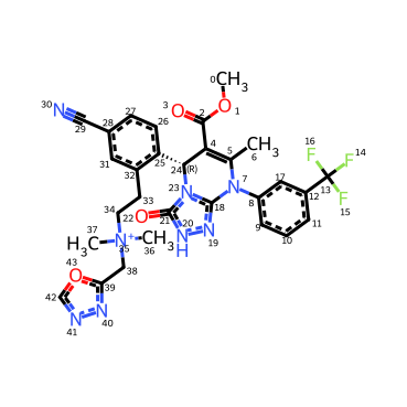 COC(=O)C1=C(C)N(c2cccc(C(F)(F)F)c2)c2n[nH]c(=O)n2[C@@H]1c1ccc(C#N)cc1CC[N+](C)(C)Cc1nnco1